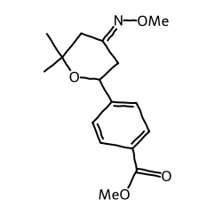 CON=C1CC(c2ccc(C(=O)OC)cc2)OC(C)(C)C1